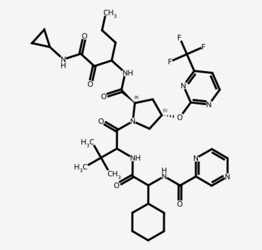 CCCC(NC(=O)[C@H]1C[C@H](Oc2nccc(C(F)(F)F)n2)CN1C(=O)C(NC(=O)C(NC(=O)c1cnccn1)C1CCCCC1)C(C)(C)C)C(=O)C(=O)NC1CC1